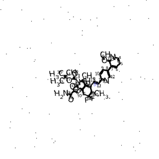 COc1ncccc1-c1ccc(/C=C/[C@@H]2[C@@H]3[C@@H](C)N(C(=O)OC(C)(C)C)S(=O)(=O)[C@]3(CCC(N)=O)CC(F)(F)[C@H]2C)nc1